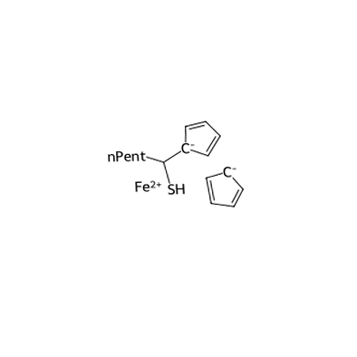 CCCCCC(S)[c-]1cccc1.[Fe+2].c1cc[cH-]c1